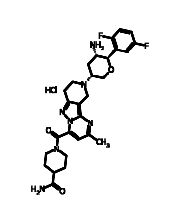 Cc1cc(C(=O)N2CCC(C(N)=O)CC2)n2nc3c(c2n1)CN([C@H]1CO[C@H](c2cc(F)ccc2F)[C@@H](N)C1)CC3.Cl